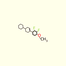 CCOc1ccc(C2=CCC(C3CCCCC3)CC2)c(F)c1F